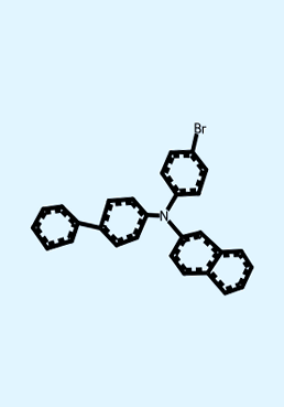 Brc1ccc(N(c2ccc(-c3ccccc3)cc2)c2ccc3ccccc3c2)cc1